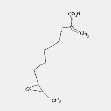 C=C(CCCCCC1OC1C)C(=O)O